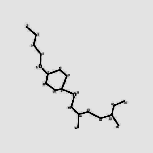 CCCCOC1CCC(OCC(C)CCC(C)CC)CC1